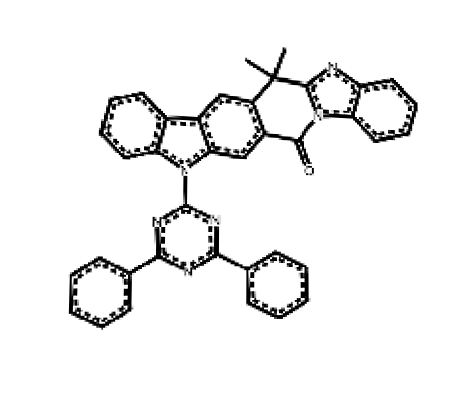 CC1(C)c2cc3c4ccccc4n(-c4nc(-c5ccccc5)nc(-c5ccccc5)n4)c3cc2C(=O)n2c1nc1ccccc12